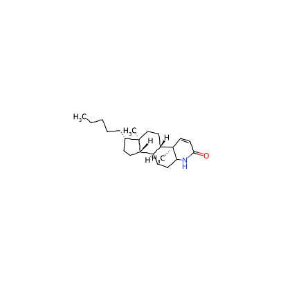 CCCCC[C@H]1CC[C@H]2[C@@H]3CCC4NC(=O)C=C[C@]4(C)[C@H]3CC[C@]12C